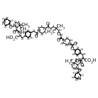 CC(C)(CCC(=O)N1CCN(C(=O)Cc2ccc(C[C@H](NC(=O)[C@H]3N(Oc4cccnc4)CSC3(C)C)C(=O)O)cc2)CC1)COCC(=O)N1CCN(C(=O)Oc2ccc(C[C@H](NC(=O)[C@H]3N(Oc4cccnc4)CSC3(C)C)C(=O)O)cc2)CC1